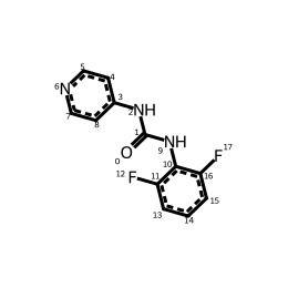 O=C(Nc1ccncc1)Nc1c(F)cccc1F